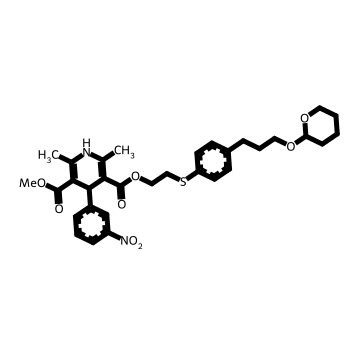 COC(=O)C1=C(C)NC(C)=C(C(=O)OCCSc2ccc(CCCOC3CCCCO3)cc2)C1c1cccc([N+](=O)[O-])c1